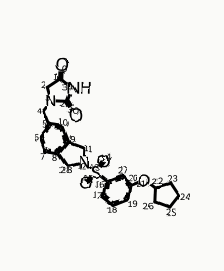 O=C1CN(Cc2ccc3c(c2)CN(S(=O)(=O)c2cccc(OC4CCCC4)c2)C3)C(=O)N1